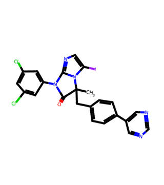 CC1(Cc2ccc(-c3cncnc3)cc2)C(=O)N(c2cc(Cl)cc(Cl)c2)c2ncc(I)n21